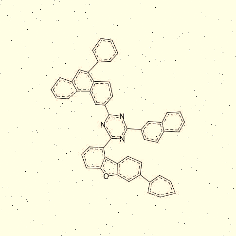 c1ccc(-c2ccc3c(c2)oc2cccc(-c4nc(-c5ccc6ccccc6c5)nc(-c5ccc6c(-c7ccccc7)cc7ccccc7c6c5)n4)c23)cc1